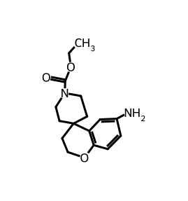 CCOC(=O)N1CCC2(CCOc3ccc(N)cc32)CC1